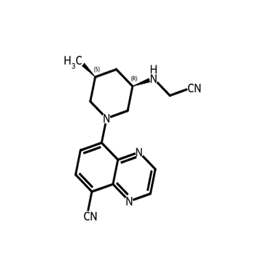 C[C@H]1C[C@@H](NCC#N)CN(c2ccc(C#N)c3nccnc23)C1